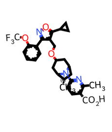 Cc1nc(N2C3CC(OCc4c(-c5ccccc5OC(F)(F)F)noc4C4CC4)CC2[C@H](C)C3)ccc1C(=O)O